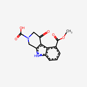 COC(=O)c1cccc2[nH]c3c(c12)C(=O)CN(C(=O)O)C3